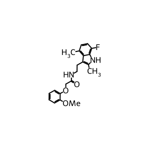 COc1ccccc1OCC(=O)NCCc1c(C)[nH]c2c(F)ccc(C)c12